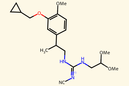 COc1ccc(C(C)CN/C(=N\C#N)NCC(OC)OC)cc1OCC1CC1